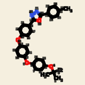 CCC(C)(C)Oc1ccc(Oc2ccc(Oc3ccc(-c4nnc(-c5ccc(C)cc5)o4)cc3)cc2)cc1